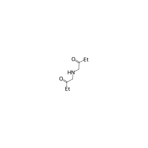 CCC(=O)CNCC(=O)CC